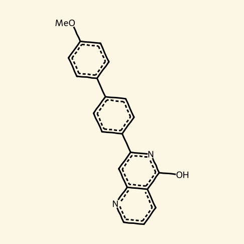 COc1ccc(-c2ccc(-c3cc4ncccc4c(O)n3)cc2)cc1